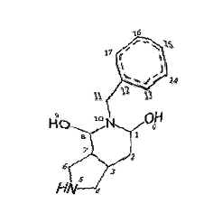 OC1CC2CNCC2C(O)N1Cc1ccccc1